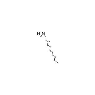 CC=CCC=CC=C[C]=CCN